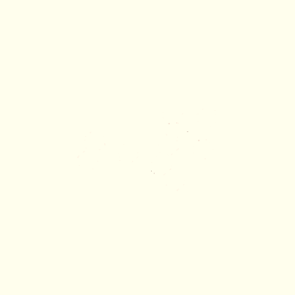 c1ccc2c(c1)-c1ccccc1C21c2ccccc2-c2c1ccc1c(-c3ccc(-c4cccc5ccccc45)cc3)nc3ccccc3c21